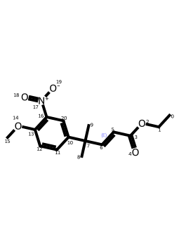 CCOC(=O)/C=C/C(C)(C)c1ccc(OC)c([N+](=O)[O-])c1